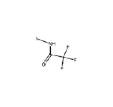 O=C(NI)C(F)(F)F